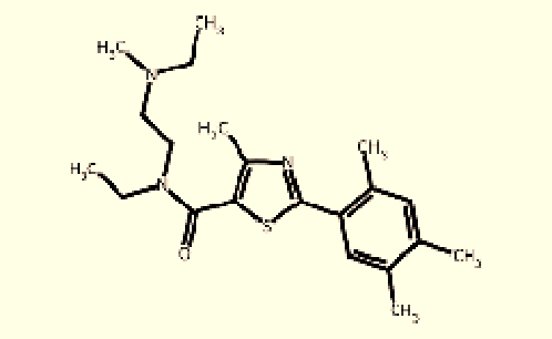 CCN(C)CCN(CC)C(=O)c1sc(-c2cc(C)c(C)cc2C)nc1C